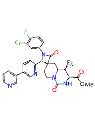 CC[C@@H]1C2CC3(CCN2C(=O)N[C@@H]1C(=O)OC)C(=O)N(c1ccc(F)c(Cl)c1)C3c1ccc(-c2cccnc2)cn1